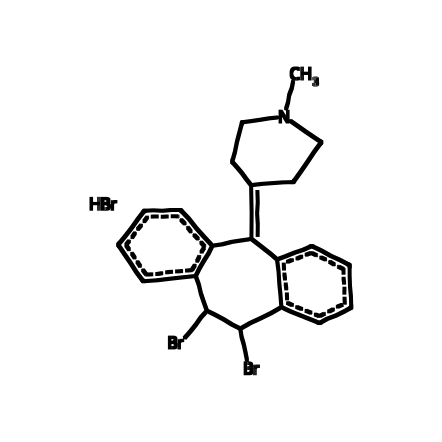 Br.CN1CCC(=C2c3ccccc3C(Br)C(Br)c3ccccc32)CC1